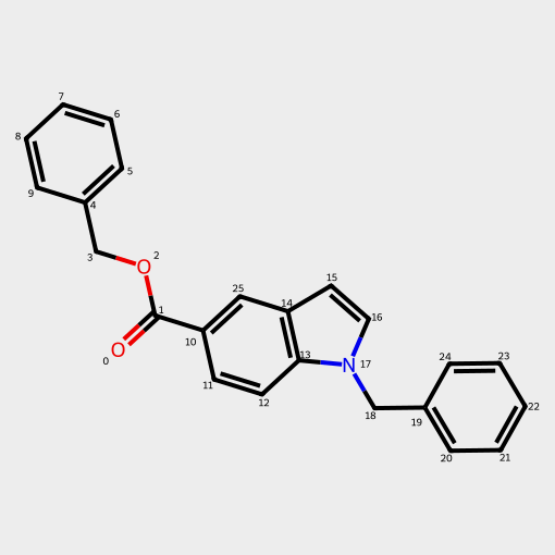 O=C(OCc1ccccc1)c1ccc2c(ccn2Cc2ccccc2)c1